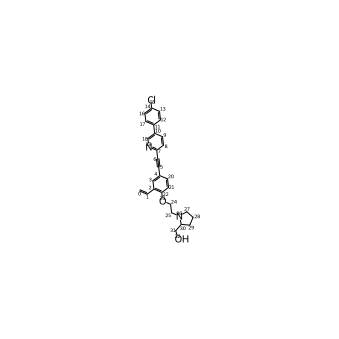 C=Cc1cc(C#Cc2ccc(-c3ccc(Cl)cc3)cn2)ccc1OCCN1CCCC1CO